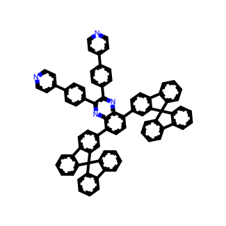 c1ccc2c(c1)-c1ccccc1C21c2ccccc2-c2ccc(-c3ccc(-c4ccc5c(c4)C4(c6ccccc6-c6ccccc64)c4ccccc4-5)c4nc(-c5ccc(-c6ccncc6)cc5)c(-c5ccc(-c6ccncc6)cc5)nc34)cc21